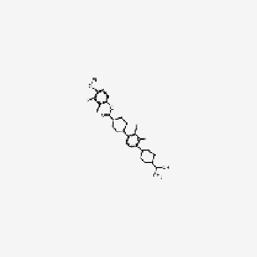 CCOc1ccc(OC(=O)C2CCC(c3ccc(C4CCC(C(C)O)CC4)c(F)c3F)CC2)c(F)c1F